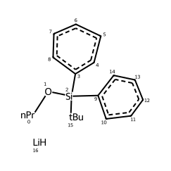 [CH2]CCO[Si](c1ccccc1)(c1ccccc1)C(C)(C)C.[LiH]